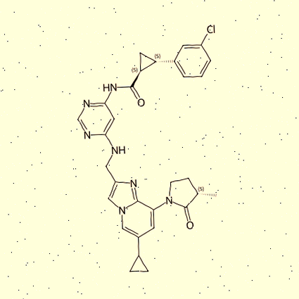 C[C@H]1CCN(c2cc(C3CC3)cn3cc(CNc4cc(NC(=O)[C@H]5C[C@@H]5c5cccc(Cl)c5)ncn4)nc23)C1=O